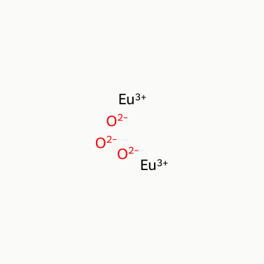 [Eu+3].[Eu+3].[O-2].[O-2].[O-2]